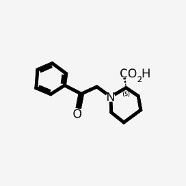 O=C(CN1CCCC[C@H]1C(=O)O)c1ccccc1